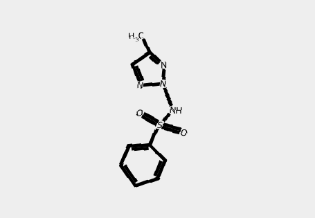 Cc1cnn(NS(=O)(=O)c2ccccc2)n1